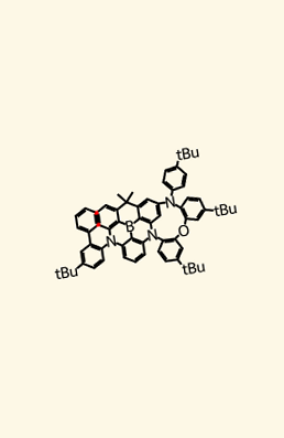 CC(C)(C)c1ccc(N2c3cc4c5c(c3)C(C)(C)c3cccc6c3B5c3c(cccc3N6c3ccc(C(C)(C)C)cc3-c3ccccc3)N4c3ccc(C(C)(C)C)cc3Oc3cc(C(C)(C)C)ccc32)cc1